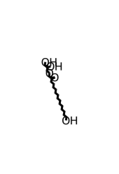 O=C(CCCCCCCCCCCCCCO)COCC(O)CO